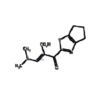 CN(C)/C=C(\C(=O)O)C(=O)c1nc2c(s1)CCC2